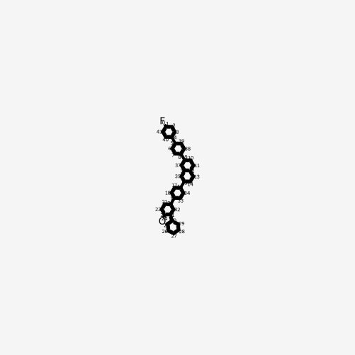 Fc1ccc(-c2ccc(-c3ccc4ccc(-c5ccc(-c6ccc7oc8ccccc8c7c6)cc5)cc4c3)cc2)cc1